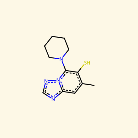 Cc1cc2ncnn2c(N2CCCCC2)c1S